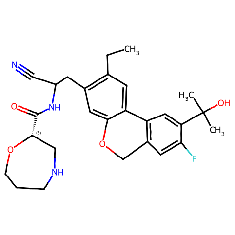 CCc1cc2c(cc1CC(C#N)NC(=O)[C@@H]1CNCCCO1)OCc1cc(F)c(C(C)(C)O)cc1-2